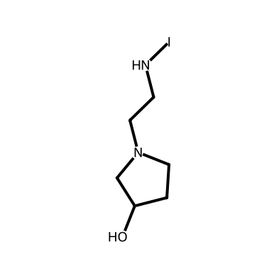 OC1CCN(CCNI)C1